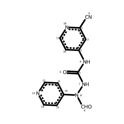 N#Cc1cc(NC(=O)NN(C=O)c2ccncc2)ccn1